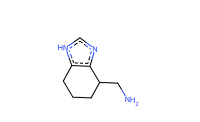 NCC1CCCc2[nH]cnc21